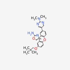 CN(C)c1ncc(-c2ccc3c(c2)[C@]2(COC(N)=N2)c2cc(OCC(C)(C)C)ccc2O3)cn1